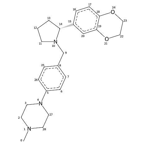 CN1CCN(c2ccc(CN3CCC[C@@H]3c3ccc4c(c3)OCCO4)cc2)CC1